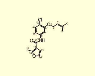 CC(C)=CCOc1cc(NC(=O)c2ccoc2C)ccc1Cl